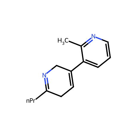 CCCC1=NCC(c2cccnc2C)=CC1